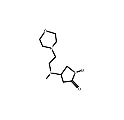 CCN1CC(N(C)CCN2CCOCC2)CC1=O